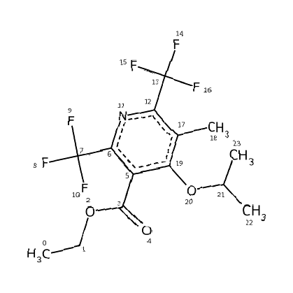 CCOC(=O)c1c(C(F)(F)F)nc(C(F)(F)F)c(C)c1OC(C)C